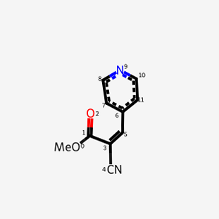 COC(=O)C(C#N)=Cc1ccncc1